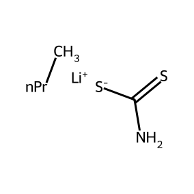 CCCC.NC(=S)[S-].[Li+]